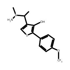 CC(c1csc(-c2ccc(OC(F)(F)F)cc2)c1O)N(C)N